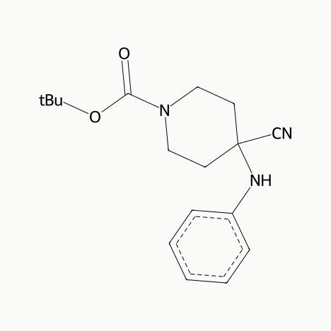 CC(C)(C)OC(=O)N1CCC(C#N)(Nc2ccccc2)CC1